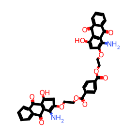 Nc1c(OCCOC(=O)c2ccc(C(=O)OCCOc3cc(O)c4c(c3N)C(=O)c3ccccc3C4=O)cc2)cc(O)c2c1C(=O)c1ccccc1C2=O